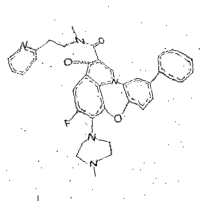 CN1CCN(c2c(F)cc3c(=O)c(C(=O)N(C)CCc4ccccn4)cn4c3c2Oc2ccc(-c3ccccc3)cc2-4)CC1